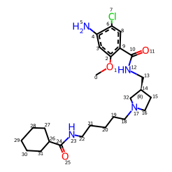 COc1cc(N)c(Cl)cc1C(=O)NC[C@H]1CCN(CCCCCNC(=O)C2CCCCC2)C1